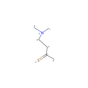 CC(=S)CCN(C)C